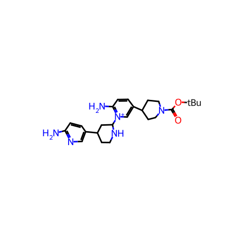 CC(C)(C)OC(=O)N1CCC(c2ccc(N)[n+](C3CC(c4ccc(N)nc4)CCN3)c2)CC1